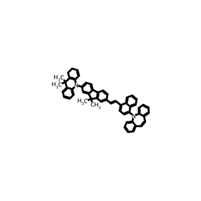 CC1(C)C2=C(C=CCC2)N(c2ccc3c(c2)C(C)(C)c2cc(/C=C/c4ccc(N5c6ccccc6C=Cc6ccccc65)c5ccccc45)ccc2-3)c2ccccc21